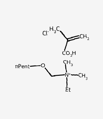 C=C(C)C(=O)O.CCCCCOC[N+](C)(C)CC.[Cl-]